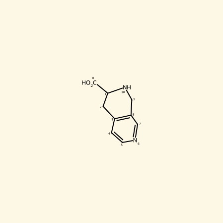 O=C(O)C1Cc2ccncc2CN1